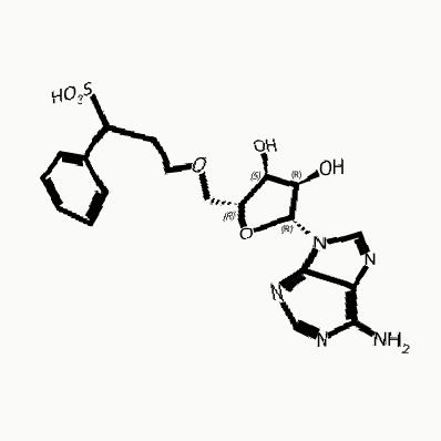 Nc1ncnc2c1ncn2[C@@H]1O[C@H](COCCC(c2ccccc2)S(=O)(=O)O)[C@@H](O)[C@H]1O